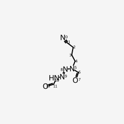 N#CCCCN(C=O)N=NNC=O